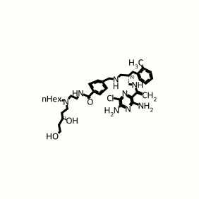 C=C(NC[C@H](CNCc1ccc(C(=O)NCCN(CCCCCC)CC[C@H](O)CCO)cc1)Cc1ccccc1C)c1nc(Cl)c(N)nc1N